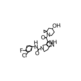 O=C(Nc1ccc(F)c(Cl)c1)N1CCc2n[nH]c(C(=O)N3CCC(O)CC34CC4)c2C1